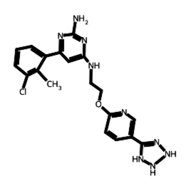 Cc1c(Cl)cccc1-c1cc(NCCOc2ccc(C3=NNNN3)cn2)nc(N)n1